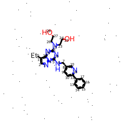 CCc1cnn2c(NCc3ccc(-c4ccccc4)nc3)nc(N(CCO)CCO)nc12